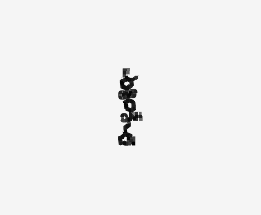 Cc1cc(S(=O)(=O)c2ccc(NC(=O)C=Cc3cccnc3)cc2)ccc1F